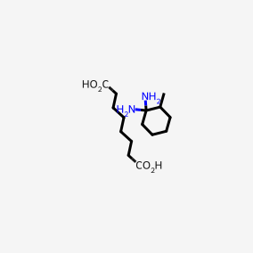 CC1CCCCC1(N)N.O=C(O)CCCCCCC(=O)O